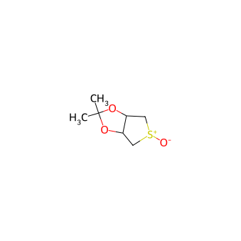 CC1(C)OC2C[S+]([O-])CC2O1